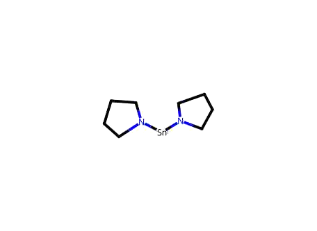 C1CC[N]([Sn][N]2CCCC2)C1